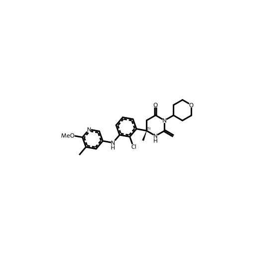 C=C1N[C@](C)(c2cccc(Nc3cnc(OC)c(C)c3)c2Cl)CC(=O)N1C1CCOCC1